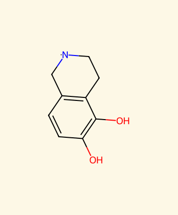 Oc1ccc2c(c1O)CC[N]C2